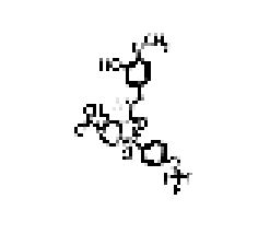 COc1ccc(CNC(=O)[C@H]2CN(C(C)=O)CCN2S(=O)(=O)c2ccc(OC(F)(F)F)cc2)cc1O